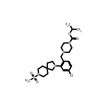 CS(=O)(=O)N1CCC2(CCN(c3cc(Cl)ccc3CN3CCN(C(=O)OC(C(F)(F)F)C(F)(F)F)CC3)C2)CC1